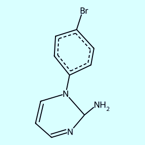 NC1N=CC=CN1c1ccc(Br)cc1